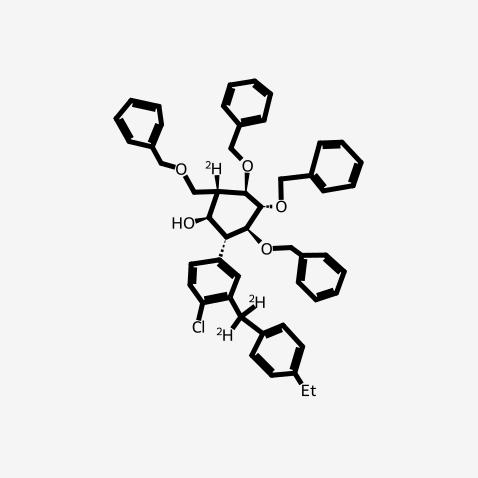 [2H]C([2H])(c1ccc(CC)cc1)c1cc([C@H]2[C@H](OCc3ccccc3)[C@@H](OCc3ccccc3)[C@H](OCc3ccccc3)[C@@]([2H])(COCc3ccccc3)[C@@H]2O)ccc1Cl